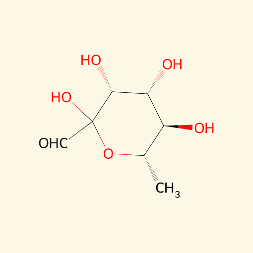 C[C@@H]1OC(O)(C=O)[C@H](O)[C@H](O)[C@H]1O